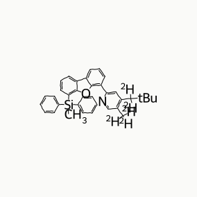 [2H]C([2H])([2H])c1cnc(-c2cccc3c2oc2c([Si](C)(c4ccccc4)c4ccccc4)cccc23)cc1C([2H])([2H])C(C)(C)C